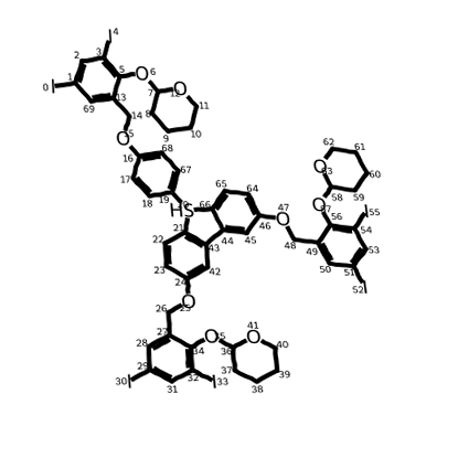 Ic1cc(I)c(OC2CCCCO2)c(COc2ccc([SH]3c4ccc(OCc5cc(I)cc(I)c5OC5CCCCO5)cc4-c4cc(OCc5cc(I)cc(I)c5OC5CCCCO5)ccc43)cc2)c1